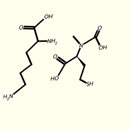 CN(C(=O)O)[C@@H](CCS)C(=O)O.NCCCCC(N)C(=O)O